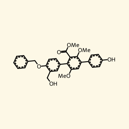 COC(=O)c1c(OC)c(-c2ccc(O)cc2)cc(OC)c1-c1ccc(OCc2ccccc2)c(CO)c1